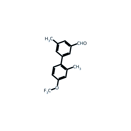 Cc1cc(C=O)cc(-c2ccc(OC(F)(F)F)cc2C)c1